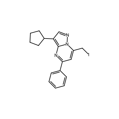 ICc1cc(-c2ccccc2)nc2c(C3CCCC3)cnn12